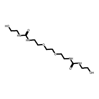 O=C(NCCO)NCCOCCOCCNC(=O)NCCO